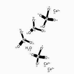 O.O=S(=O)([O-])[O-].O=S(=O)([O-])[O-].O=[N+]([O-])[O-].O=[N+]([O-])[O-].[Ca+2].[Ca+2].[Ca+2]